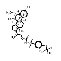 CC[C@H]1[C@@H](O)[C@@H]2[C@H](CC[C@]3(C)[C@@H]([C@H](C)COC(=O)NS(=O)(=O)c4ccc(OC(C)(C)C)cc4)CC[C@@H]23)[C@@]2(C)CC[C@@H](O)C[C@@H]12